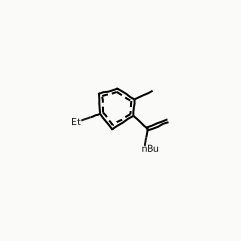 C=C(CCCC)c1cc(CC)ccc1C